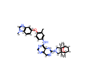 Cc1cc(Nc2ncnc3cnc(N4C[C@@H]5[C@H](C4)[C@@H]4CC[C@H]5O4)nc23)ccc1Oc1ccc2c(c1)ncn2C